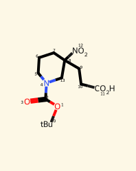 CC(C)(C)OC(=O)N1CCCC(CCC(=O)O)([N+](=O)[O-])C1